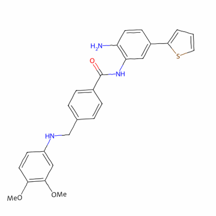 COc1ccc(NCc2ccc(C(=O)Nc3cc(-c4cccs4)ccc3N)cc2)cc1OC